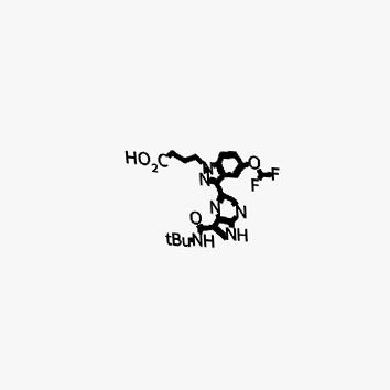 CC(C)(C)NC(=O)c1c[nH]c2ncc(-c3nn(CCCC(=O)O)c4ccc(OC(F)F)cc34)nc12